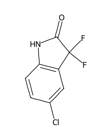 O=C1Nc2ccc(Cl)cc2C1(F)F